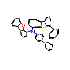 c1ccc(-c2ccc(N(c3cccc4c3oc3ccccc34)c3cccc4c3sc3c(-c5ccccc5)cccc34)cc2)cc1